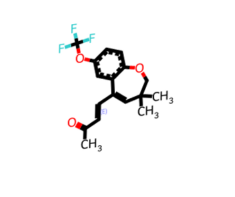 CC(=O)/C=C/C1=CC(C)(C)COc2ccc(OC(F)(F)F)cc21